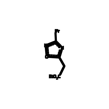 CCOC(=O)Cc1nc(C(C)C)no1